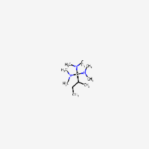 CCC(C)[Si](N(C)C)(N(C)C)N(C)C